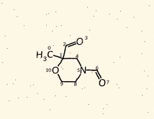 CC1(C=O)CN(C=O)CCO1